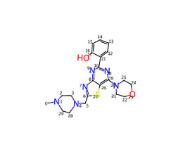 CN1CCN(Cc2nc3nc(-c4ccccc4O)nc(N4CCOCC4)c3s2)CC1